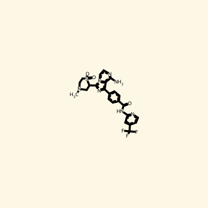 CN1CCS(=O)(=O)C(c2nc(-c3ccc(C(=O)Nc4cc(C(F)(F)F)ccn4)cc3)c3c(N)nccn23)C1